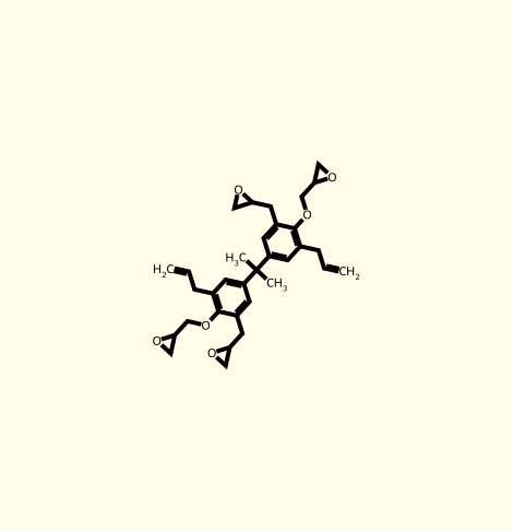 C=CCc1cc(C(C)(C)c2cc(CC=C)c(OCC3CO3)c(CC3CO3)c2)cc(CC2CO2)c1OCC1CO1